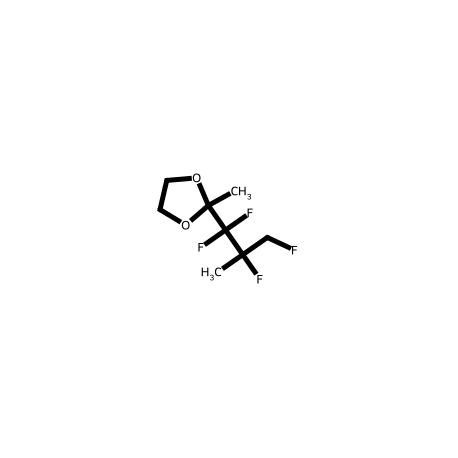 CC(F)(CF)C(F)(F)C1(C)OCCO1